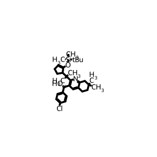 CC1(C)CCc2cc([C@H](O)c3ccc(Cl)cc3)c(C(C)(C)C3CCC=C3O[Si](C)(C)C(C)(C)C)nc2C1